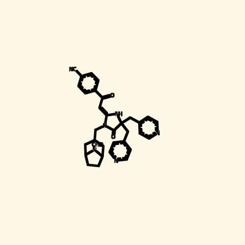 N#Cc1ccc(C(=O)C=C2NC(Cc3ccncc3)(Cc3ccncc3)C(=O)N2CC2CC3CCC(C2)N3C=O)cc1